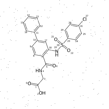 O=C(O)CNC(=O)c1ccc(-c2ccccc2)cc1NS(=O)(=O)c1ccc(Cl)cc1